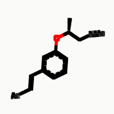 CNC[C@H](C)Oc1cccc(/C=C/C(C)=O)c1